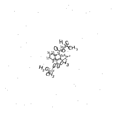 Cc1cccc2c(C(=O)OCC(C)C)c3ccccc3c(C(=O)OCC(C)C)c12